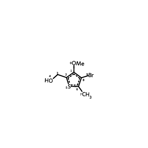 COc1c(CO)sc(C)c1Br